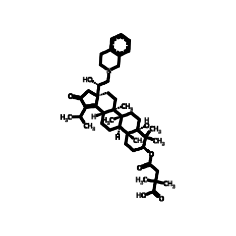 CC(C)C1=C2[C@H]3CC[C@@H]4[C@@]5(C)CC[C@H](OC(=O)CC(C)(C)C(=O)O)C(C)(C)[C@]5(O)CC[C@@]4(C)[C@]3(C)CC[C@@]2([C@H](O)CN2CCc3ccccc3C2)CC1=O